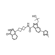 Cn1ccc(-c2ccc3c(C(=O)NC4CC5(C4)CC(c4n[nH]c(=O)c6ccccc46)C5)nn(CC(C)(C)O)c3c2)n1